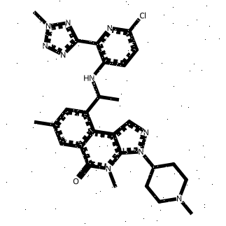 Cc1cc(C(C)Nc2ccc(Cl)nc2-c2nnn(C)n2)c2c(c1)c(=O)n(C)c1c2cnn1C1CCN(C)CC1